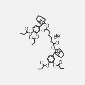 CCC(=O)Oc1ccc(C[N+]2(C)C3CCC2CC(OC(=O)CCCCC(=O)OC2CC4CCC(C2)[N+]4(C)Cc2ccc(OC(=O)CC)c(OC(=O)CC)c2)C3)cc1OC(=O)CC.[Br-].[Br-]